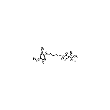 Cc1cn(C)c(SCCCCCCOC(=O)C(C)(C)C(C)C)nc1=O